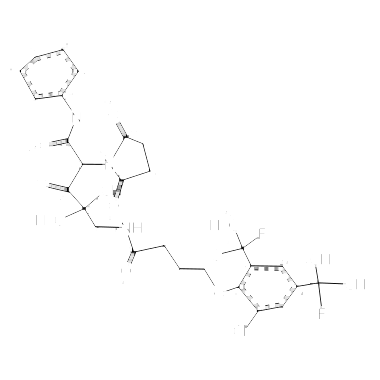 CCC(C)(C)c1cc(Cl)c(OCCCC(=O)NCC(C)(C)C(=O)C(C(=O)Nc2ccccc2)N2C(=O)CCC2=O)c(C(C)(C)CC)c1